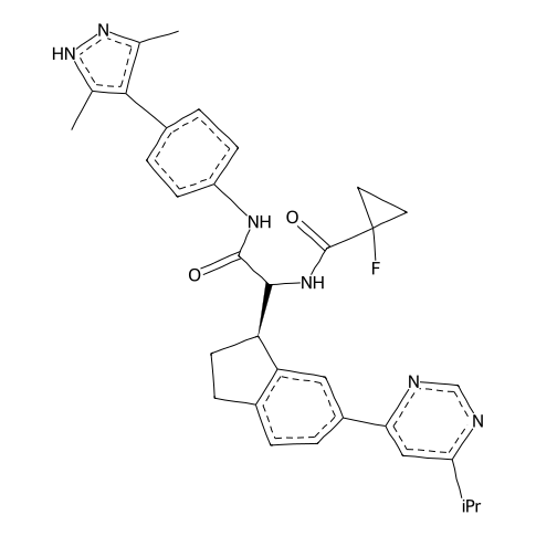 Cc1n[nH]c(C)c1-c1ccc(NC(=O)C(NC(=O)C2(F)CC2)[C@@H]2CCc3ccc(-c4cc(C(C)C)ncn4)cc32)cc1